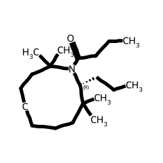 CCCC(=O)N1[C@H](CCC)C(C)(C)CCCCCCC1(C)C